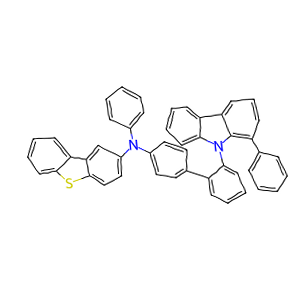 c1ccc(-c2cccc3c4ccccc4n(-c4ccccc4-c4ccc(N(c5ccccc5)c5ccc6sc7ccccc7c6c5)cc4)c23)cc1